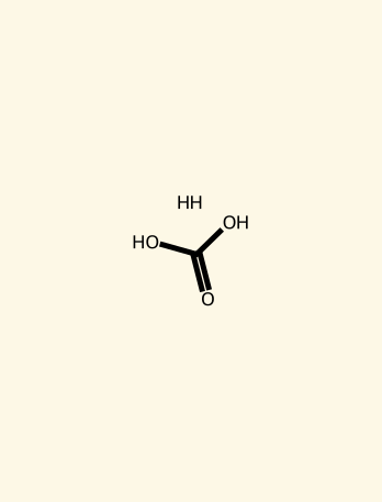 O=C(O)O.[HH]